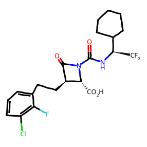 O=C(O)[C@@H]1[C@@H](CCc2cccc(Cl)c2F)C(=O)N1C(=O)N[C@@H](C1CCCCC1)C(F)(F)F